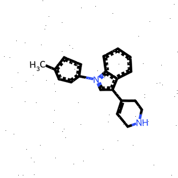 Cc1ccc(-n2cc(C3=CCNCC3)c3ccccc32)cc1